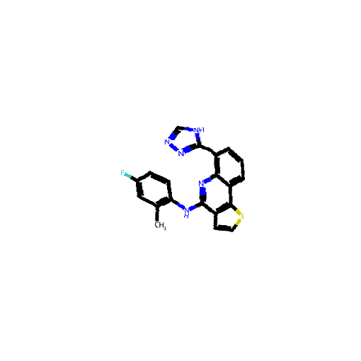 Cc1cc(F)ccc1Nc1nc2c(-c3nnc[nH]3)cccc2c2sccc12